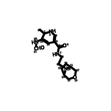 CC1NC=C(C(=O)NCCN2C3CCC2COC3)C=C1NC=O